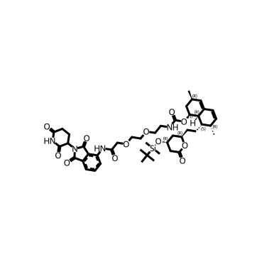 C[C@H]1C=C2C=C[C@H](C)[C@H](CC[C@@H]3C[C@@H](O[Si](C)(C)C(C)(C)C)CC(=O)O3)[C@H]2[C@@H](OC(=O)NCCOCCOCC(=O)Nc2cccc3c2C(=O)N(C2CCC(=O)NC2=O)C3=O)C1